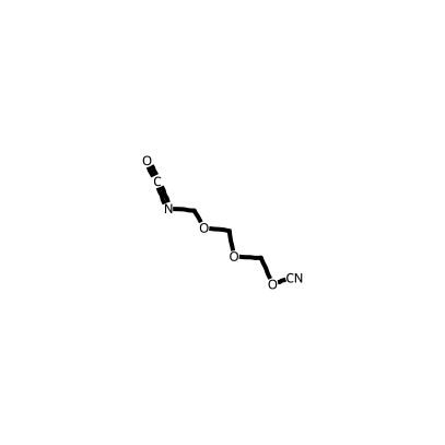 N#COCOCOCN=C=O